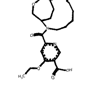 CCOc1cc(C(=O)N2CCCCCCC3CCC2COC3)ncc1C(=O)O